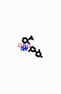 Cc1ccc(-c2ccc(OCc3c(C4CC4)cccc3-n3nnn(C)c3=O)c(C)c2)c(C)c1